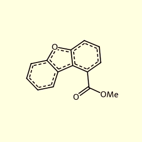 COC(=O)c1cccc2oc3ccccc3c12